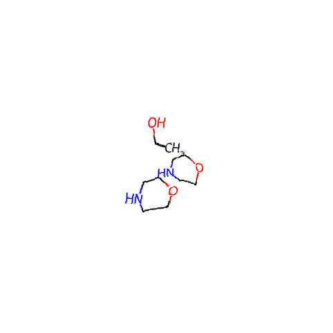 C1COCCN1.C1COCCN1.CCO